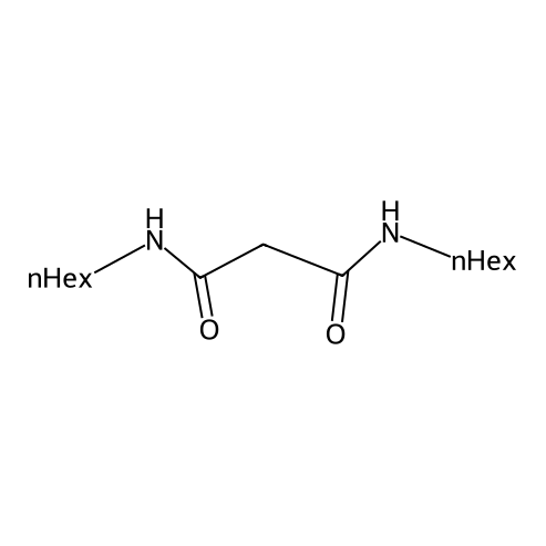 CCCCCCNC(=O)CC(=O)NCCCCCC